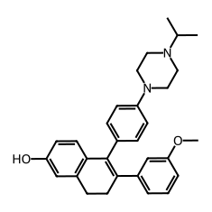 COc1cccc(C2=C(c3ccc(N4CCN(C(C)C)CC4)cc3)c3ccc(O)cc3CC2)c1